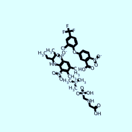 CCC(CC)Nc1c([N+](=O)[O-])cc(C)c(C)c1[N+](=O)[O-].C[S+](C)C.O=C(O)CNCP(=O)([O-])O.O=C(O)c1cc(Oc2ccc(C(F)(F)F)cc2Cl)ccc1[N+](=O)[O-]